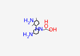 Cc1ccc(-c2cc(N)ccc2NCC(O)CO)c(C)c1N